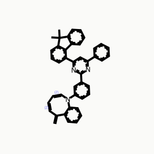 C=C1/C=C\C=C/N(c2cccc(-c3nc(-c4ccccc4)cc(-c4cccc5c4-c4ccccc4C5(C)C)n3)c2)c2ccccc21